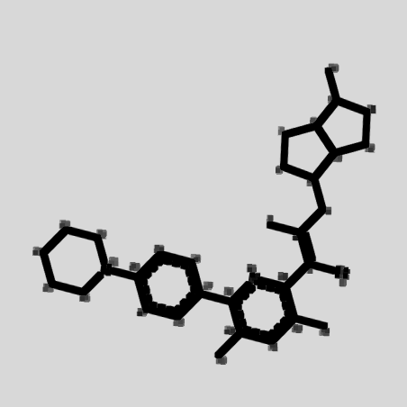 CC/C(=C(/C)CC1CCC2C(C)CCC12)c1nc(-c2ccc(N3CCCCC3)cc2)c(C)cc1C